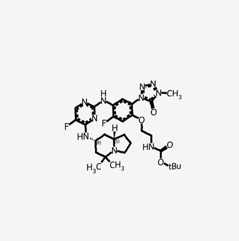 Cn1nnn(-c2cc(Nc3ncc(F)c(N[C@@H]4C[C@@H]5CCCN5C(C)(C)C4)n3)c(F)cc2OCCNC(=O)OC(C)(C)C)c1=O